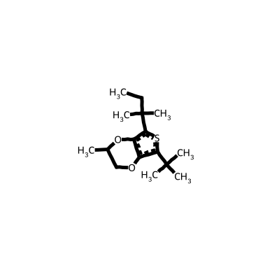 CCC(C)(C)c1sc(C(C)(C)C)c2c1OC(C)CO2